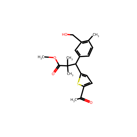 COC(=O)C(C)(C)C(c1ccc(C)c(CO)c1)c1ccc(C(C)=O)s1